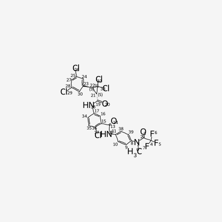 CN(C(=O)C(F)(F)F)c1ccc(NC(=O)c2cc(NC(=O)[C@@H]3[C@@H](c4cc(Cl)cc(Cl)c4)C3(Cl)Cl)ccc2Cl)cc1